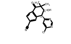 CC1(C)C(=O)c2ccc(C#N)cc2[C@H](c2cc(Cl)ncn2)[C@H]1O